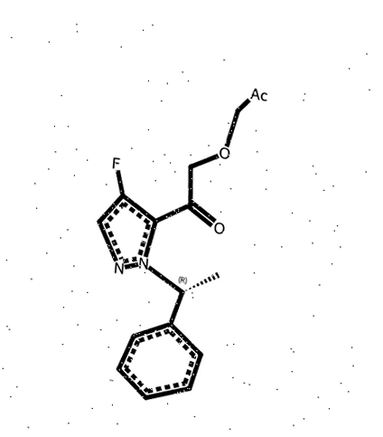 CC(=O)COCC(=O)c1c(F)cnn1[C@H](C)c1ccccc1